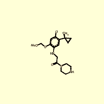 COCOc1cc(Cl)c(C2(C)CC2)cc1NCC(=O)N1CCNCC1